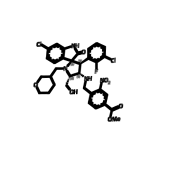 COC(=O)c1ccc(CN[C@@H]2[C@H](CO)N(CC3CCCOC3)[C@@]3(C(=O)Nc4cc(Cl)ccc43)[C@H]2c2cccc(Cl)c2F)c([N+](=O)[O-])c1